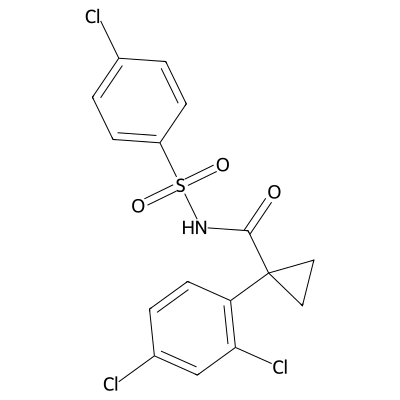 O=C(NS(=O)(=O)c1ccc(Cl)cc1)C1(c2ccc(Cl)cc2Cl)CC1